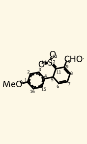 COc1ccc(C2C=CC=C([C]=O)C2=S(=O)=O)cc1